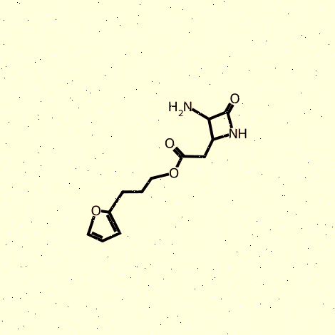 NC1C(=O)NC1CC(=O)OCCCc1ccco1